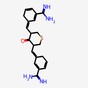 N=C(N)C1=CC(=CC2CSCC(C=C3C=C(C(=N)N)C=CC3)C2=O)CC=C1